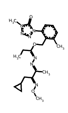 CC\C(=N/N=C(C)/C(CC1CC1)=N/OC)OCc1c(C)cccc1-n1nnn(C)c1=O